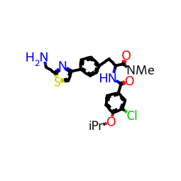 CNC(=O)C(Cc1ccc(-c2csc(CN)n2)cc1)NC(=O)c1ccc(OC(C)C)c(Cl)c1